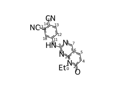 CCn1c(=O)ccc2cnc(Nc3ccc(C#N)c(C#N)c3)nc21